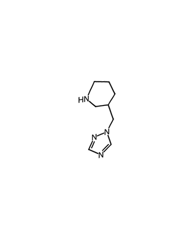 c1ncn(CC2CCCNC2)n1